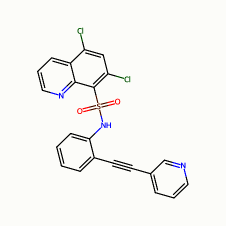 O=S(=O)(Nc1ccccc1C#Cc1cccnc1)c1c(Cl)cc(Cl)c2cccnc12